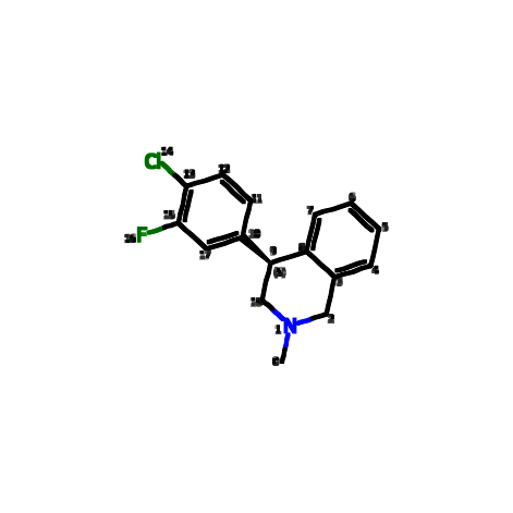 CN1Cc2ccccc2[C@H](c2ccc(Cl)c(F)c2)C1